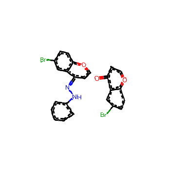 Brc1ccc2occc(=NNc3ccccc3)c2c1.O=c1ccoc2ccc(Br)cc12